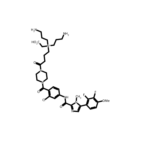 COc1ccc(-c2cnc(C(=O)Nc3ccc(C(=O)N4CCN(C(=O)CCC[N+](CCCN)(CCCN)CC(=O)O)CC4)c(Cl)c3)n2C)c(F)c1F